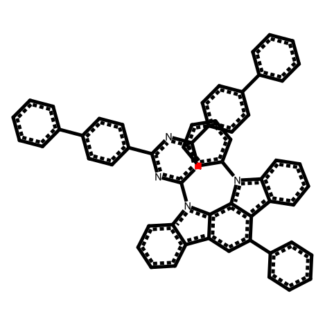 c1ccc(-c2ccc(-c3nc(-c4ccc(-c5ccccc5)cc4)nc(-n4c5ccccc5c5cc(-c6ccccc6)c6c7ccccc7n(-c7ccccc7)c6c54)n3)cc2)cc1